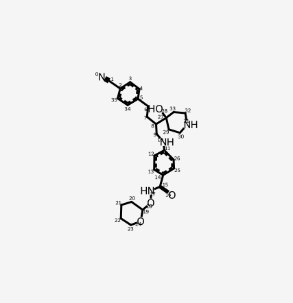 N#Cc1ccc(CCC(CNc2ccc(C(=O)NOC3CCCCO3)cc2)C2(O)CCNCC2)cc1